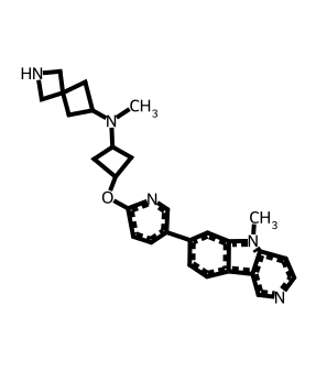 CN(C1CC(Oc2ccc(-c3ccc4c5cnccc5n(C)c4c3)cn2)C1)C1CC2(CNC2)C1